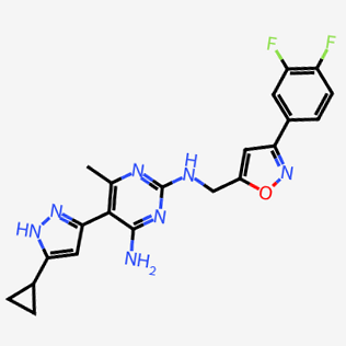 Cc1nc(NCc2cc(-c3ccc(F)c(F)c3)no2)nc(N)c1-c1cc(C2CC2)[nH]n1